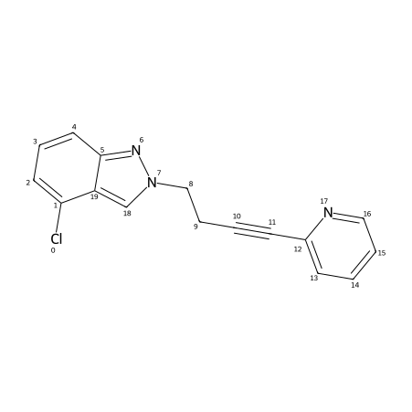 Clc1cccc2nn(CCC#Cc3ccccn3)cc12